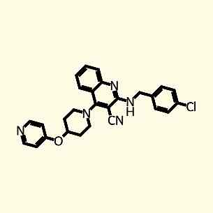 N#Cc1c(NCc2ccc(Cl)cc2)nc2ccccc2c1N1CCC(Oc2ccncc2)CC1